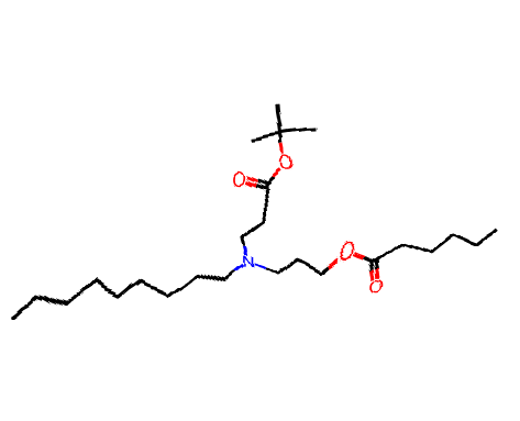 CCCCCCCCCN(CCCOC(=O)CCCCC)CCC(=O)OC(C)(C)C